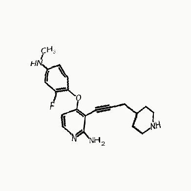 CNc1ccc(Oc2ccnc(N)c2C#CCC2CCNCC2)c(F)c1